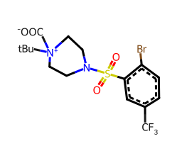 CC(C)(C)[N+]1(C(=O)[O-])CCN(S(=O)(=O)c2cc(C(F)(F)F)ccc2Br)CC1